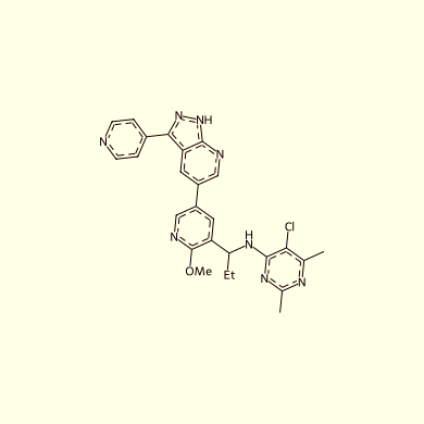 CCC(Nc1nc(C)nc(C)c1Cl)c1cc(-c2cnc3[nH]nc(-c4ccncc4)c3c2)cnc1OC